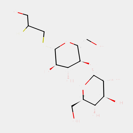 OCC(S)CS[C@@H]1O[C@H](CO)[C@@H](O[C@H]2O[C@H](CO)[C@@H](O)[C@H](O)[C@H]2O)[C@H](O)[C@H]1O